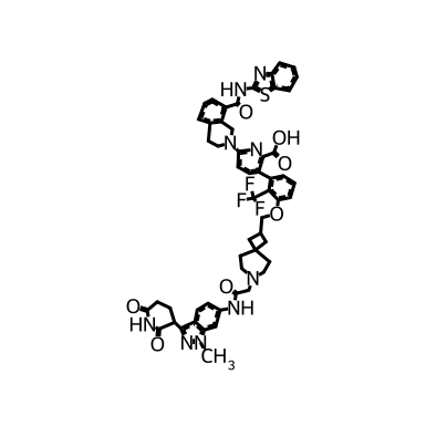 Cn1nc(C2CCC(=O)NC2=O)c2ccc(NC(=O)CN3CCC4(CC3)CC(COc3cccc(-c5ccc(N6CCc7cccc(C(=O)Nc8nc9ccccc9s8)c7C6)nc5C(=O)O)c3C(F)(F)F)C4)cc21